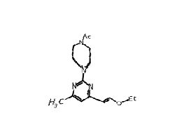 CCO/C=C/c1cc(C)nc(N2CCN(C(C)=O)CC2)n1